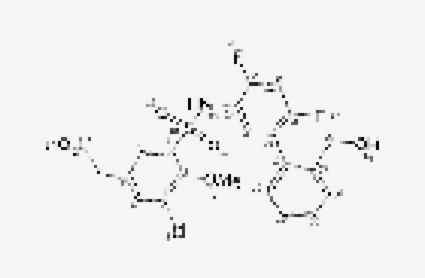 COc1c(Cl)cc(CC(=O)O)cc1S(=O)(=O)Nc1cc(-c2ccccc2CO)c(F)cc1F